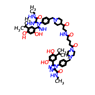 CCNC(=O)C(=N)N(C(=N)c1cc(C(C)C)c(O)cc1O)c1ccc(CN2CCC(C(=O)CCNC(=O)CCCC(=O)N3CCN(Cc4ccc(-n5c(C(=O)NCC)nnc5-c5cc(C(C)C)c(O)cc5O)cc4)CC3)CC2)cc1